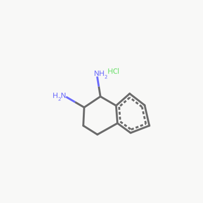 Cl.NC1CCc2ccccc2C1N